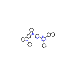 c1ccc(-c2nc(-c3ccc4ccccc4c3)nc(-c3ccc(-n4c5ccccc5c5cc6c7ccccc7n(-c7ccccc7)c6cc54)cn3)n2)cc1